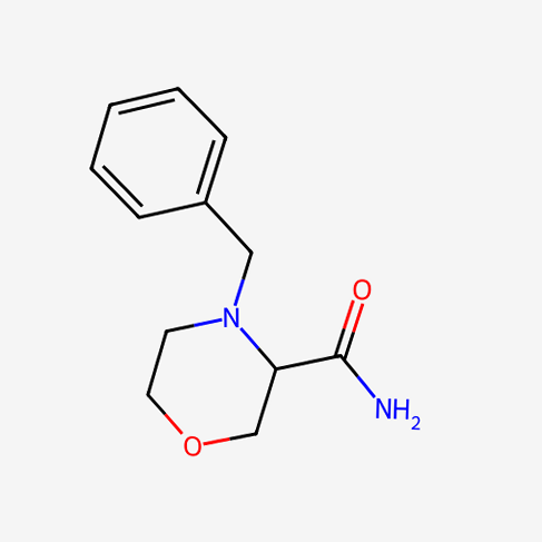 NC(=O)C1COCCN1Cc1ccccc1